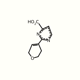 O=C(O)c1ccnc(C2=CCOCC2)n1